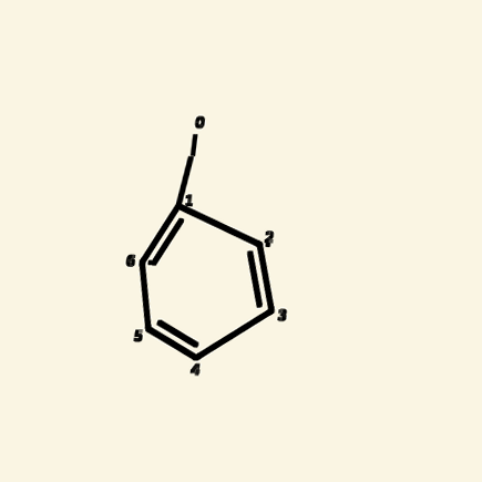 Ic1[c]ccc[c]1